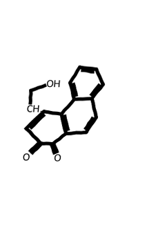 CCO.O=C1C=Cc2c(ccc3ccccc23)C1=O